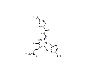 COC(=O)CCn1c(=O)[nH]/c(=N\NC(=O)c2ccc(C)cc2)n(Cc2ccc(C)cc2)c1=O